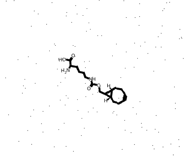 NC(CCCCNC(=O)OCC1[C@H]2CCC#CCC[C@@H]12)C(=O)O